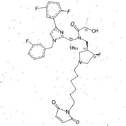 C[C@H](O)C(=O)N(C[C@@H]1CN(CCCCCCN2C(=O)C=CC2=O)C[C@@H]1F)[C@@H](c1nc(-c2cc(F)ccc2F)cn1Cc1cccc(F)c1)C(C)(C)C